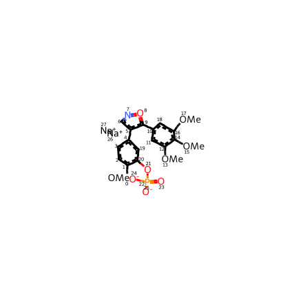 COc1ccc(-c2cnoc2-c2cc(OC)c(OC)c(OC)c2)cc1OP(=O)([O-])[O-].[Na+].[Na+]